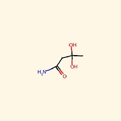 CC(O)(O)CC(N)=O